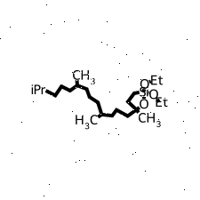 CCO[Si]1(OCC)CCC(C)(CCCC(C)CCCC(C)CCCC(C)C)O1